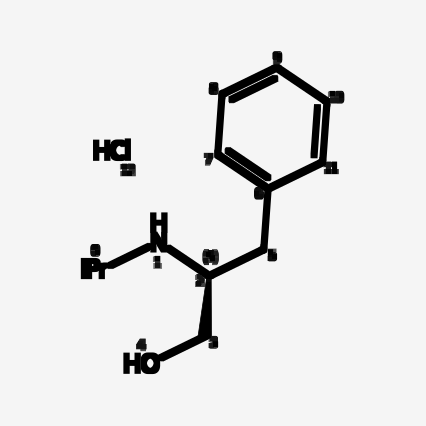 CC(C)N[C@H](CO)Cc1ccccc1.Cl